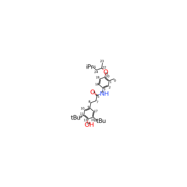 Cc1cc(NC(=O)CCc2cc(C(C)(C)C)c(O)c(C(C)(C)C)c2)ccc1OC(C)CC(C)C